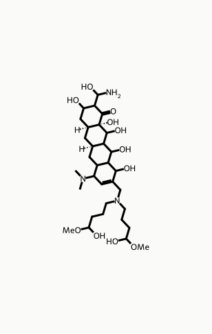 COC(O)CCCN(CCCC(O)OC)CC1=CC(N(C)C)C2C[C@H]3C[C@H]4CC(O)C(C(N)O)C(=O)[C@@]4(O)C(O)C3C(O)C2C1O